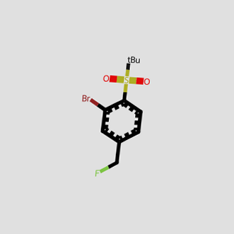 CC(C)(C)S(=O)(=O)c1ccc(CF)cc1Br